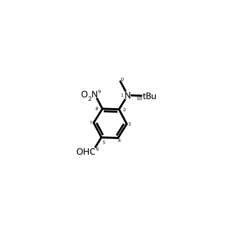 CN(c1ccc(C=O)cc1[N+](=O)[O-])C(C)(C)C